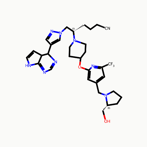 N#CCCC[C@@H](Cn1cc(C2N=CN=C3NC=CC32)cn1)N1CCC(Oc2cc(CN3CCC[C@@H]3CO)cc(C(F)(F)F)n2)CC1